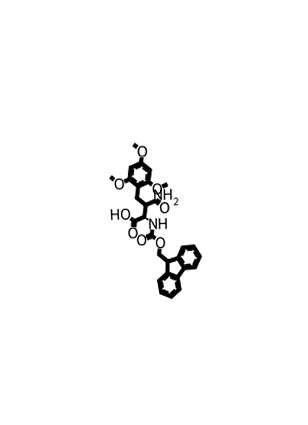 COc1cc(OC)c(CC(C(N)=O)[C@H](NC(=O)OCC2c3ccccc3-c3ccccc32)C(=O)O)c(OC)c1